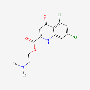 CCN(CC)CCOC(=O)c1cc(=O)c2c(Cl)cc(Cl)cc2[nH]1